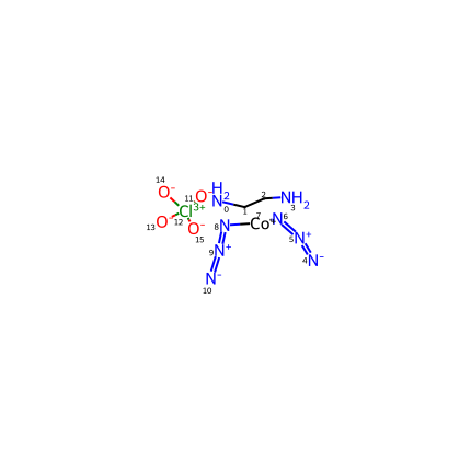 NCCN.[N-]=[N+]=[N][Co+][N]=[N+]=[N-].[O-][Cl+3]([O-])([O-])[O-]